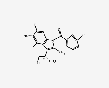 CCC(C)C[C@@H](C(=O)O)c1c(C)n(C(=O)c2cccc(Cl)c2)c2cc(F)c(O)c(F)c12